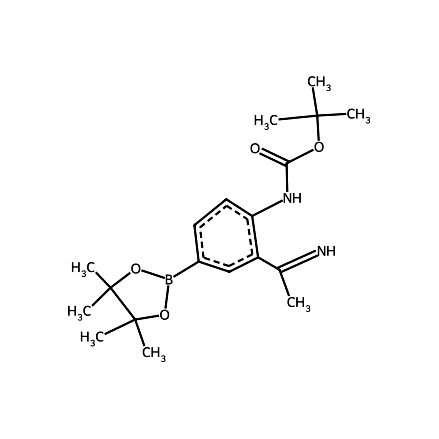 CC(=N)c1cc(B2OC(C)(C)C(C)(C)O2)ccc1NC(=O)OC(C)(C)C